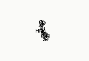 CS(=O)(=O)c1ccc(CC(=O)Nc2nc3c(s2)C(=O)N(c2ccccc2Cl)CC3)cc1